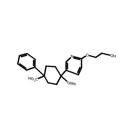 COC1(c2ccc(OCCO)nc2)CCC(C(=O)O)(c2ccccc2)CC1